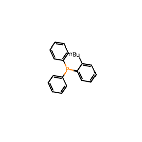 CCCCc1ccccc1P(c1ccccc1)c1ccccc1